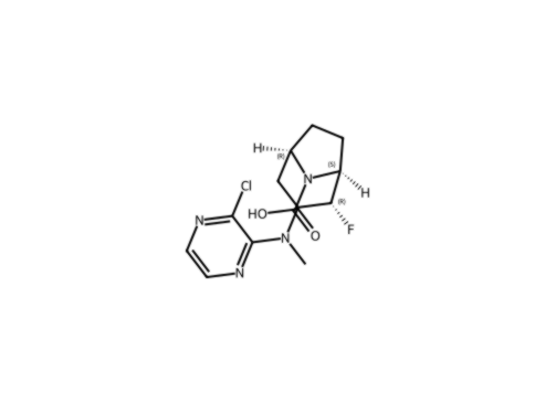 CN(c1nccnc1Cl)C1C[C@H]2CC[C@@H]([C@@H]1F)N2C(=O)O